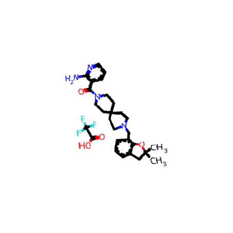 CC1(C)Cc2cccc(CN3CCC4(CC3)CCN(C(=O)c3cccnc3N)CC4)c2O1.O=C(O)C(F)(F)F